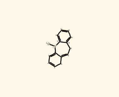 [O-][S+]1C2=CC=CCC2=CCc2ccccc21